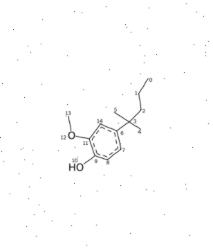 CCCC(C)(C)c1ccc(O)c(OC)c1